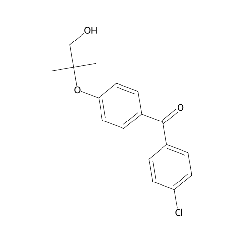 CC(C)(CO)Oc1ccc(C(=O)c2ccc(Cl)cc2)cc1